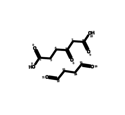 O=C(O)CCC(=O)CC(=O)O.O=[C]CC[C]=O